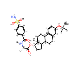 C[C@@H](C(=O)O[C@H]1CCC2C3CCc4cc(O[Si](C)(C)C(C)(C)C)ccc4C3CC[C@@]21C)N(C)C(=O)c1ccc(S(N)(=O)=O)cc1